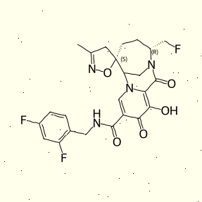 CC1=NO[C@@]2(CC[C@H](CF)N3CC2n2cc(C(=O)NCc4ccc(F)cc4F)c(=O)c(O)c2C3=O)C1